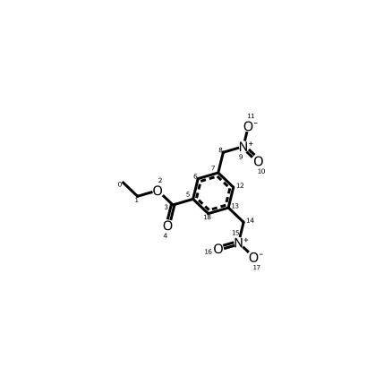 CCOC(=O)c1cc(C[N+](=O)[O-])cc(C[N+](=O)[O-])c1